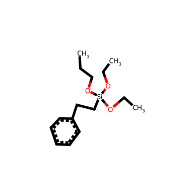 CCCO[Si](CCc1ccccc1)(OCC)OCC